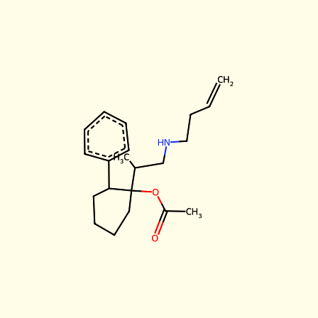 C=CCCNCC(C)C1(OC(C)=O)CCCCC1c1ccccc1